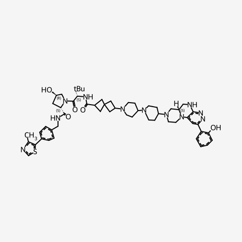 Cc1ncsc1-c1ccc(CNC(=O)[C@@H]2C[C@@H](O)CN2C(=O)[C@@H](NC(=O)C2CC3(C2)CC(N2CCC(N4CCC(N5CCN6c7cc(-c8ccccc8O)nnc7NC[C@H]6C5)CC4)CC2)C3)C(C)(C)C)cc1